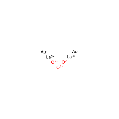 [Au].[Au].[La+3].[La+3].[O-2].[O-2].[O-2]